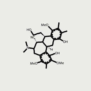 COc1c(C)c(OC)c2c(c1O)[C@@H]1Cc3c(O)c(C)c(C)c(OC)c3[C@H](CCO)C1[C@@H](C#N)C(N(C)C)C2